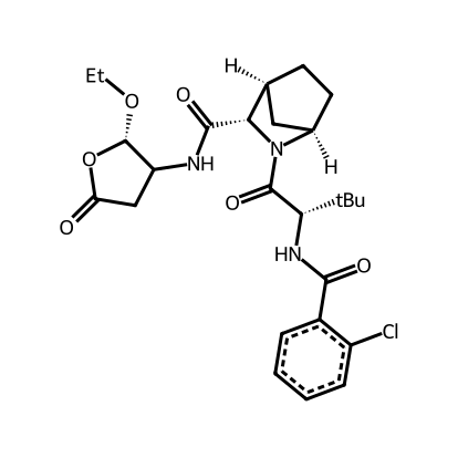 CCO[C@H]1OC(=O)CC1NC(=O)[C@@H]1[C@H]2CC[C@H](C2)N1C(=O)[C@@H](NC(=O)c1ccccc1Cl)C(C)(C)C